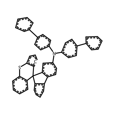 c1ccc(-c2ccc(N(c3ccc(-c4ccccc4)cc3)c3ccc4c(c3)C3(c5ccccc5Sc5ccccc53)c3ccccc3-4)cc2)cc1